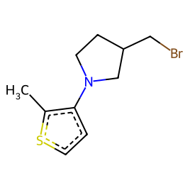 Cc1sccc1N1CCC(CBr)C1